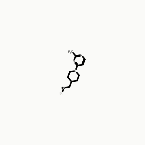 CCNCC1CCN(c2ccnc(C(F)(F)F)n2)CC1